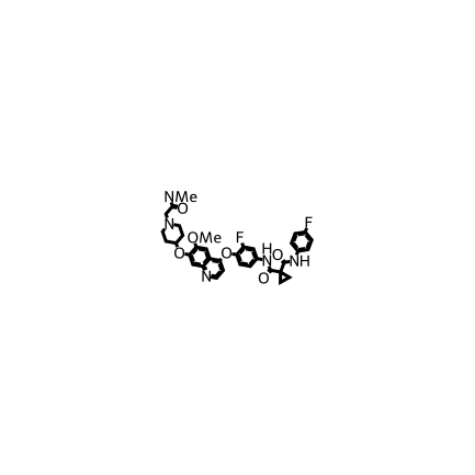 CNC(=O)CN1CCC(Oc2cc3nccc(Oc4ccc(NC(=O)C5(C(=O)Nc6ccc(F)cc6)CC5)cc4F)c3cc2OC)CC1